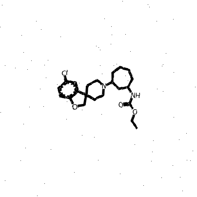 CCOC(=O)NC1CCCCC(N2CCC3(CC2)COc2ccc(Cl)cc23)C1